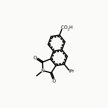 CC(C)c1cc2cc(C(=O)O)ccc2c2c1C(=O)N(C)C2=O